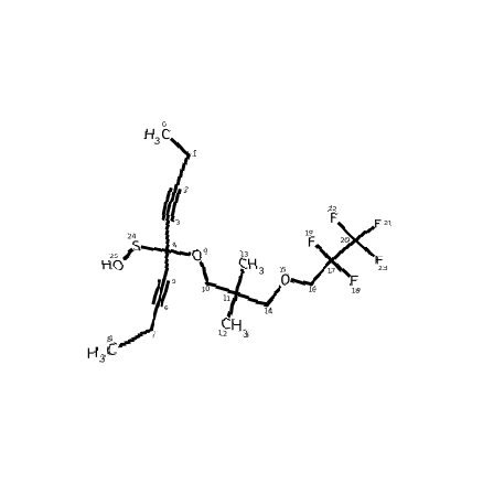 CCC#CC(C#CCC)(OCC(C)(C)COCC(F)(F)C(F)(F)F)SO